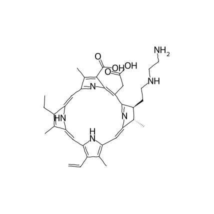 C=Cc1c(C)c2cc3nc(c(CC(=O)O)c4nc(cc5[nH]c(cc1[nH]2)c(C)c5CC)C(C)=C4C(=O)O)[C@@H](CCNCCN)[C@@H]3C